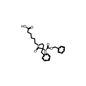 O=C(O)CCCCCN1CCC(Cc2ccccc2)(NC(=O)OCc2ccccc2)C1=O